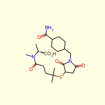 C[C@@H](C(=O)O)N(C)C(=O)CCC(C)(C)SC1CC(=O)N(CC2CCC(C(N)=O)CC2)C1=O